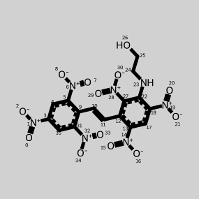 O=[N+]([O-])c1cc([N+](=O)[O-])c(/C=C/c2c([N+](=O)[O-])cc([N+](=O)[O-])c(NCCO)c2[N+](=O)[O-])c([N+](=O)[O-])c1